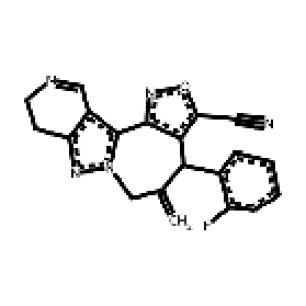 C=C1Cn2nc3c(c2-c2noc(C#N)c2C1c1ccccc1F)C=NCC3